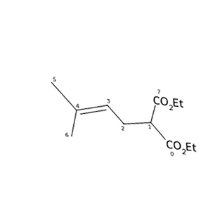 CCOC(=O)C(CC=C(C)C)C(=O)OCC